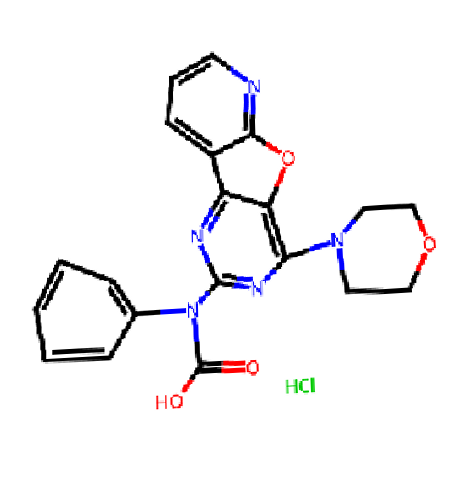 Cl.O=C(O)N(c1ccccc1)c1nc(N2CCOCC2)c2oc3ncccc3c2n1